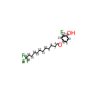 Oc1ccc(OCCCCCCCCCCCC(F)(F)F)cc1F